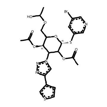 CC(=O)OC1C(n2cc(-c3ccsc3)nn2)[C@@H](OC(C)=O)C(COC(C)O)O[C@@H]1Sc1cncc(Br)c1